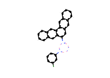 Clc1cccc(N2BNBN(c3cc4cc5ccccc5cc4c4cc5ccccc5cc34)B2)c1